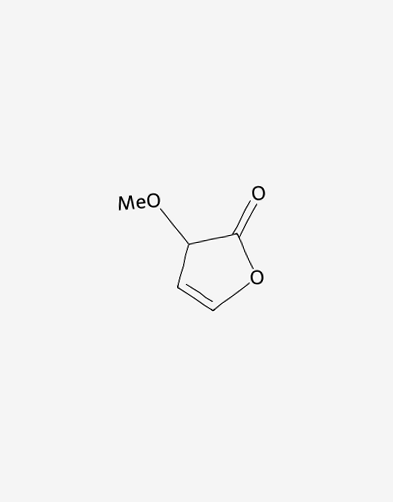 COC1C=COC1=O